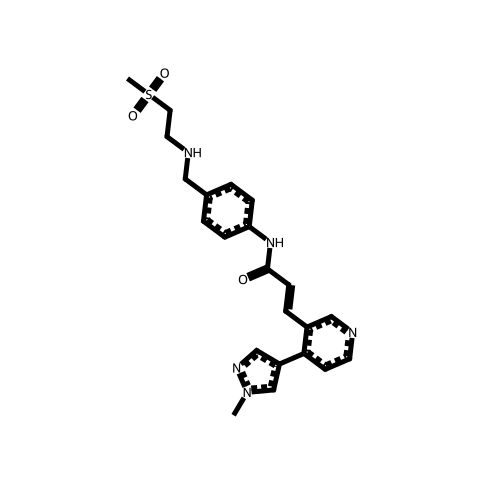 Cn1cc(-c2ccncc2C=CC(=O)Nc2ccc(CNCCS(C)(=O)=O)cc2)cn1